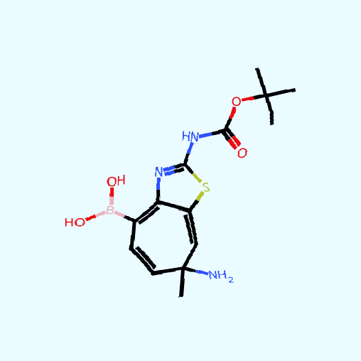 CC1(N)C=CC(B(O)O)=c2nc(NC(=O)OC(C)(C)C)sc2=C1